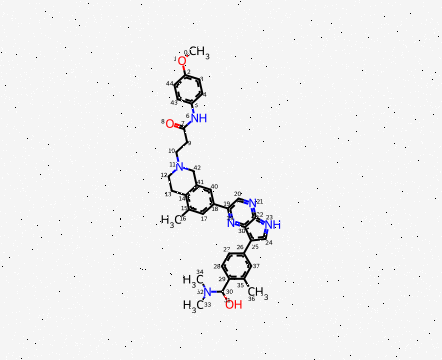 COc1ccc(NC(=O)CCN2CCc3c(C)cc(-c4cnc5[nH]cc(-c6ccc(C(O)N(C)C)c(C)c6)c5n4)cc3C2)cc1